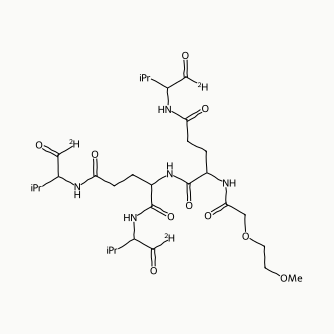 [2H]C(=O)C(NC(=O)CCC(NC(=O)COCCOC)C(=O)NC(CCC(=O)NC(C([2H])=O)C(C)C)C(=O)NC(C([2H])=O)C(C)C)C(C)C